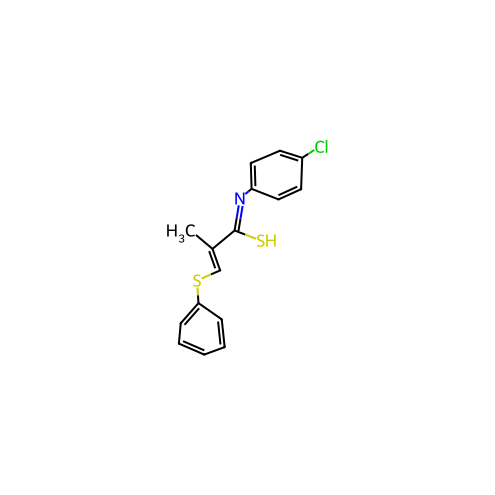 CC(=C\Sc1ccccc1)/C(S)=N/c1ccc(Cl)cc1